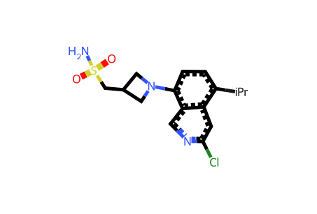 CC(C)c1ccc(N2CC(CS(N)(=O)=O)C2)c2cnc(Cl)cc12